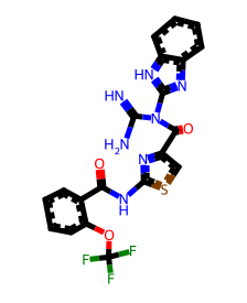 N=C(N)N(C(=O)c1csc(NC(=O)c2ccccc2OC(F)(F)F)n1)c1nc2ccccc2[nH]1